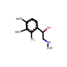 COc1ccc(C(O)CNC=O)c(C(F)(F)F)c1OC